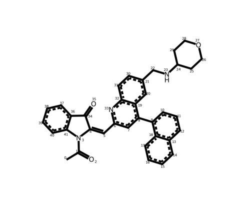 CC(=O)N1C(=Cc2cc(-c3cccc4ccccc34)c3cc(CNC4CCOCC4)ccc3n2)C(=O)c2ccccc21